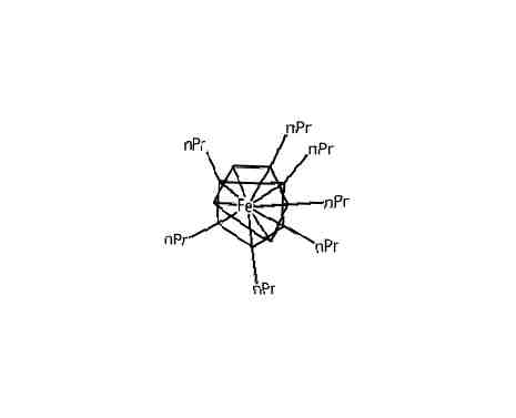 CCC[C]12[CH]3[CH]4[CH]5[C]1(CCC)[Fe]43521678[C]2(CCC)[C]1(CCC)[C]6(CCC)[C]7(CCC)[C]28CCC